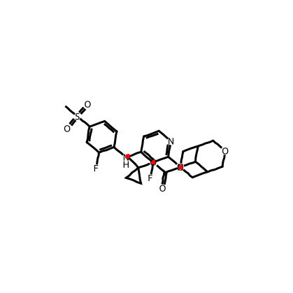 CC1(OC(=O)N2CC3COCC(C2)C3Oc2nccc(Nc3ccc(S(C)(=O)=O)cc3F)c2F)CC1